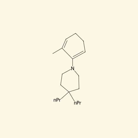 CCCC1(CCC)CCN(C2=CCCC=C2C)CC1